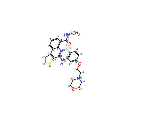 CNC(=O)c1cccc2c1nc(Nc1cc(OCCN3CCOCC3)ccc1F)c1sccc12